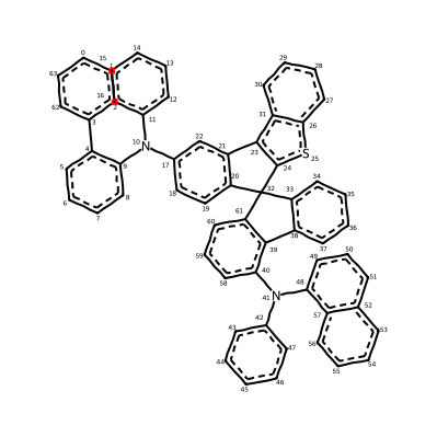 c1ccc(-c2ccccc2N(c2ccccc2)c2ccc3c(c2)-c2c(sc4ccccc24)C32c3ccccc3-c3c(N(c4ccccc4)c4cccc5ccccc45)cccc32)cc1